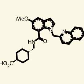 COc1cc(C(=O)NC[C@H]2CC[C@H](C(=O)O)CC2)c2c(ccn2Cc2ccc3ccccc3n2)c1